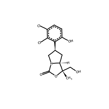 C[C@@]1(CO)OC(=O)N2C[C@@H](c3c(O)ccc(Cl)c3Cl)C[C@H]21